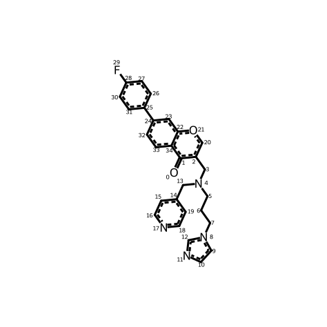 O=c1c(CN(CCCn2ccnc2)Cc2ccncc2)coc2cc(-c3ccc(F)cc3)ccc12